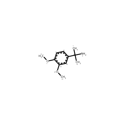 COc1ccc(C(C)(C)N)cc1OC